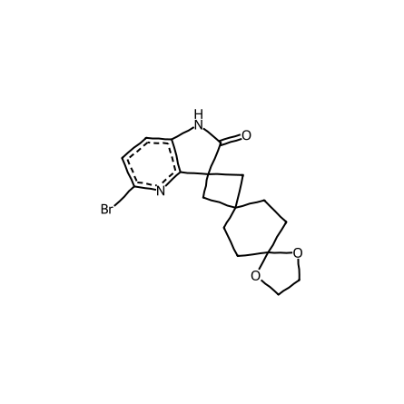 O=C1Nc2ccc(Br)nc2C12CC1(CCC3(CC1)OCCO3)C2